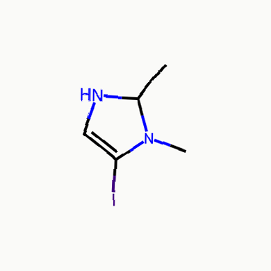 CC1NC=C(I)N1C